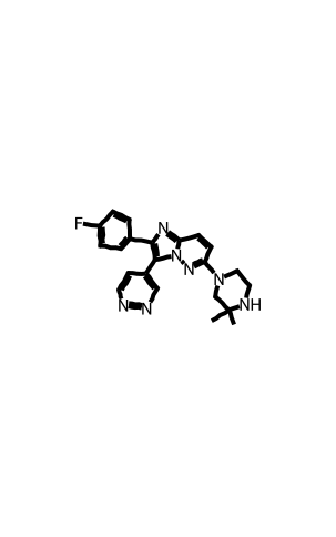 CC1(C)CN(c2ccc3nc(-c4ccc(F)cc4)c(-c4ccnnc4)n3n2)CCN1